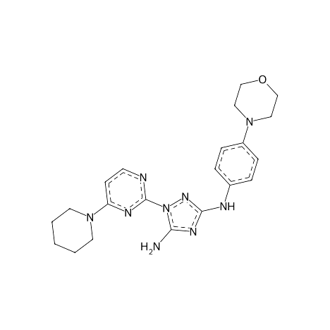 Nc1nc(Nc2ccc(N3CCOCC3)cc2)nn1-c1nccc(N2CCCCC2)n1